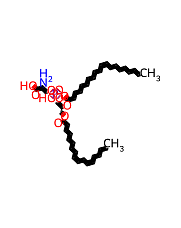 CCCCC/C=C\C/C=C\CCCCCCCC(=O)OC[C@H](COP(=O)(O)OC[C@H](N)C(=O)O)OC(=O)CCCCCCCCC/C=C\CCCCCCCC